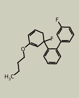 CCCCOC1=CC(F)(c2ccccc2-c2cccc(F)c2)CC=C1